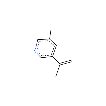 C=C(C)c1cncc(C)c1